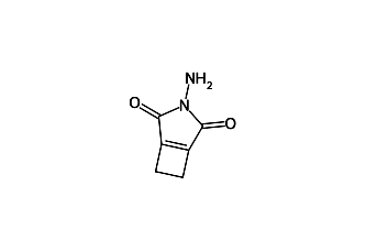 NN1C(=O)C2=C(CC2)C1=O